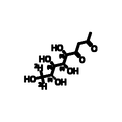 [2H]C([2H])(O)[C@@H](O)[C@@H](O)[C@H](O)[C@@H](O)C(=O)CC(C)=O